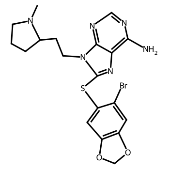 CN1CCCC1CCn1c(Sc2cc3c(cc2Br)OCO3)nc2c(N)ncnc21